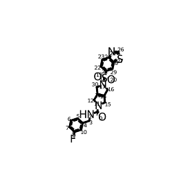 O=C(NCc1cccc(F)c1)N1CC2=C(C1)CN(S(=O)(=O)c1ccc3ncsc3c1)C2